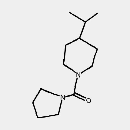 CC(C)C1CCN(C(=O)N2CCCC2)CC1